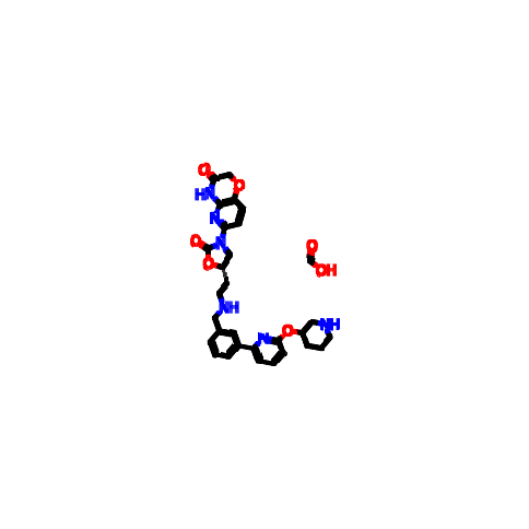 O=C1COc2ccc(N3C[C@H](CCNCc4cccc(-c5cccc(OC6CCCNC6)n5)c4)OC3=O)nc2N1.O=CO